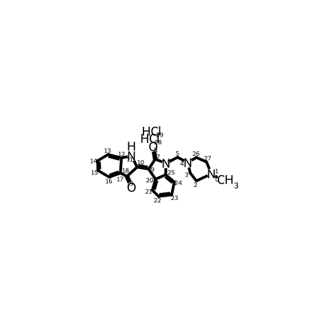 CN1CCN(CN2C(=O)/C(=C3\Nc4ccccc4C3=O)c3ccccc32)CC1.Cl.Cl